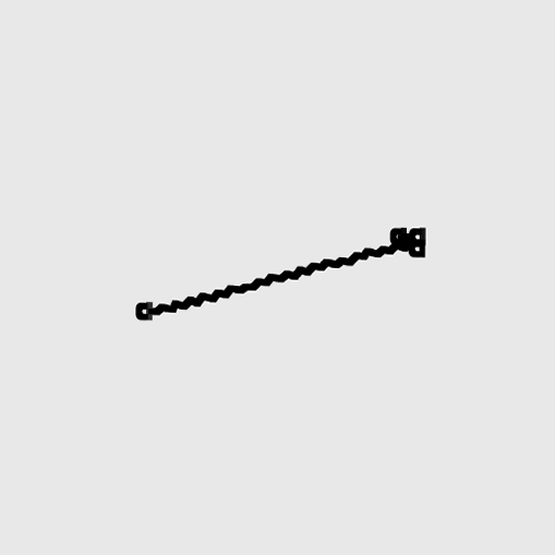 ClCCCCCCCCCCCCCCCCCCCCCCCCCCCCCCCCCCCCC[Si](Cl)(Cl)Cl